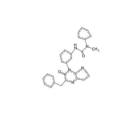 CN(C(=O)Nc1cccc(-n2c(=O)c(Cc3ccccc3)nc3cccnc32)c1)c1ccccc1